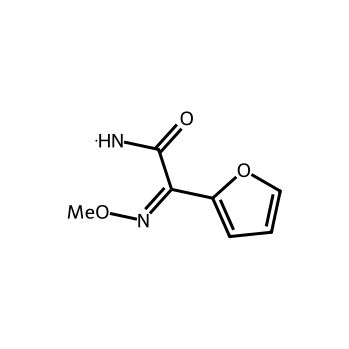 CON=C(C([NH])=O)c1ccco1